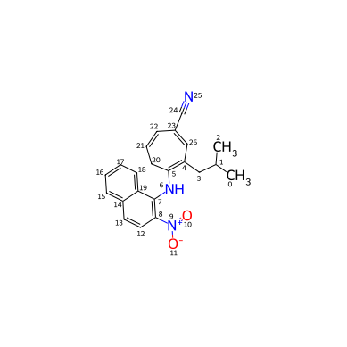 CC(C)CC1=C(Nc2c([N+](=O)[O-])ccc3ccccc23)CC=CC(C#N)=C1